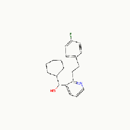 OC(c1cccnc1CCc1ccc(F)cc1)C1CCCCC1